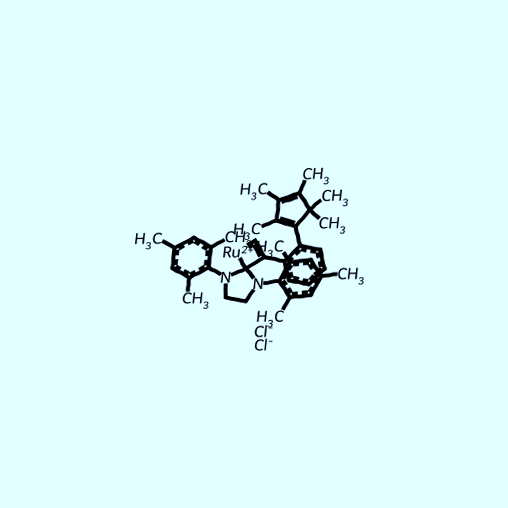 CC1=C(C)C(C)(C)C(c2ccccc2C2=[C]=[Ru+2][C]23N(c2c(C)cc(C)cc2C)CCN3c2c(C)cc(C)cc2C)=C1C.[Cl-].[Cl-]